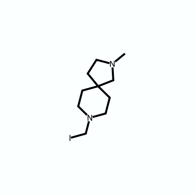 CN1CCC2(CCN(CI)CC2)C1